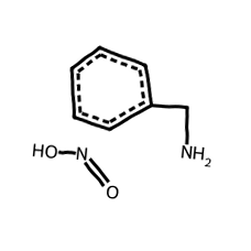 NCc1ccccc1.O=NO